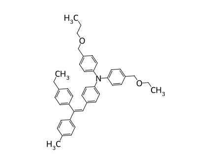 CCCOCc1ccc(N(c2ccc(C=C(c3ccc(C)cc3)c3ccc(CC)cc3)cc2)c2ccc(COCC)cc2)cc1